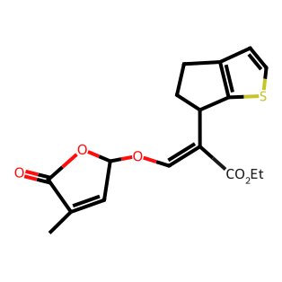 CCOC(=O)/C(=C/OC1C=C(C)C(=O)O1)C1CCc2ccsc21